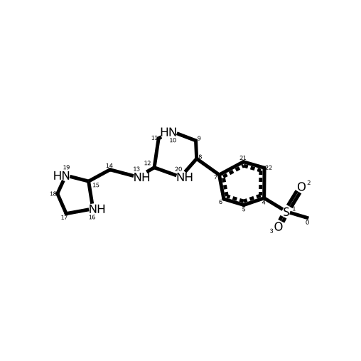 CS(=O)(=O)c1ccc(C2CNCC(NCC3NCCN3)N2)cc1